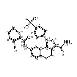 CS(=O)(=O)c1ccc(-n2nc(C(N)=O)c3c2-c2cc(NC(=O)c4ccccc4F)ccc2CC3)cc1